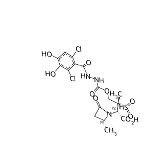 C[C@@H]1CC(=O)N1[C@@H](C(=O)O)[C@](C)(COC(=O)NNC(=O)c1c(Cl)cc(O)c(O)c1Cl)[SH](=O)=O